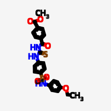 CCOc1ccc(NS(=O)(=O)c2ccc(NC(=S)NC(=O)c3ccc(C(=O)OC)cc3)cc2)cc1